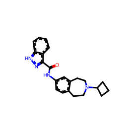 O=C(Nc1ccc2c(c1)CCN(C1CCC1)CC2)c1n[nH]c2ccccc12